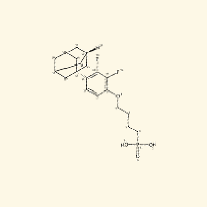 O=P(O)(O)CCCCOc1ccc([C@]23CC4CC(C[C@H](C4)C2)C3)c(F)c1F